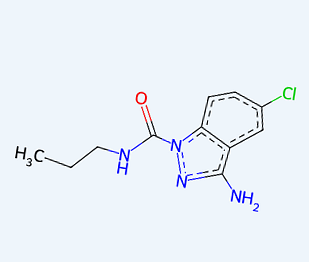 CCCNC(=O)n1nc(N)c2cc(Cl)ccc21